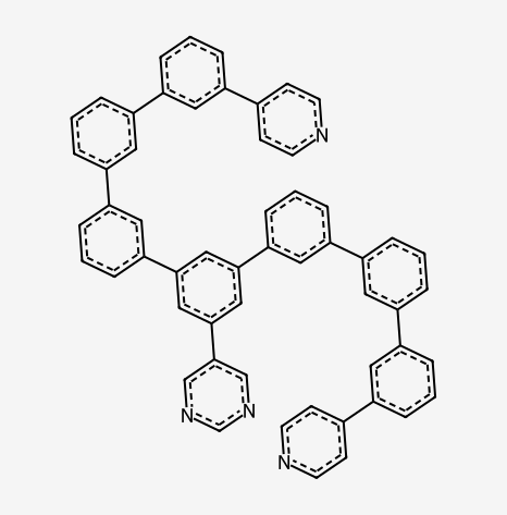 c1cc(-c2ccncc2)cc(-c2cccc(-c3cccc(-c4cc(-c5cncnc5)cc(-c5cccc(-c6cccc(-c7cccc(-c8ccncc8)c7)c6)c5)c4)c3)c2)c1